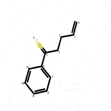 C=CCCC(=S)c1ccccc1